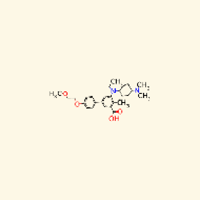 CCN(c1cc(-c2ccc(OCCOC)cc2)cc(C(=O)O)c1C)C1CCC(N(C)C)CC1